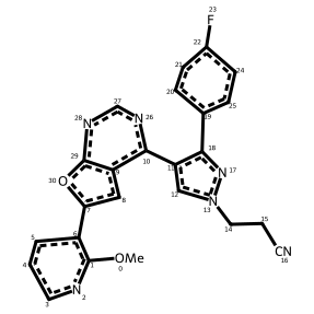 COc1ncccc1-c1cc2c(-c3cn(CCC#N)nc3-c3ccc(F)cc3)ncnc2o1